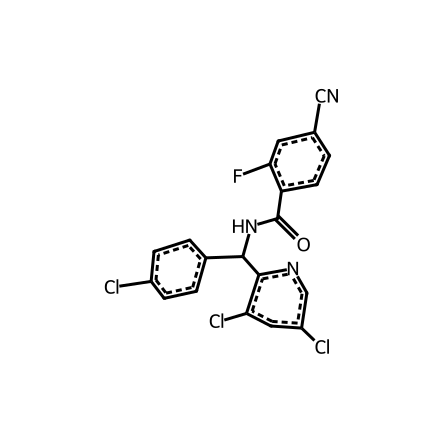 N#Cc1ccc(C(=O)NC(c2ccc(Cl)cc2)c2ncc(Cl)cc2Cl)c(F)c1